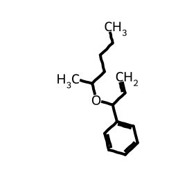 C=CC(OC(C)CCCC)c1ccccc1